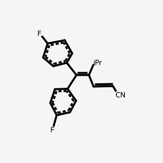 CC(C)C(C=CC#N)=C(c1ccc(F)cc1)c1ccc(F)cc1